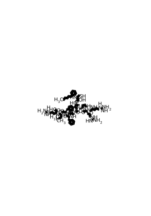 CC(C)CC(NC(=O)[C@@H](Cc1ccccc1)NC(=O)[C@H](Cc1ccccc1)NC(=O)CNC(=O)[C@@H]1C[C@H](O)CN1C(=O)[C@@H]1CCCN1C(=O)[C@H](CCCNC(=N)N)NC(=O)[C@H](N)CCCNC(=N)N)C(=O)NC(CCCNC(=N)N)C(=O)O.CCCCCCc1ccccc1NC(CS)C(=O)O